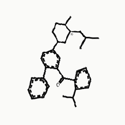 CC(C)C[C@H]1CC(c2ccc(-c3ccccc3)c(C(=O)c3ccccc3C(C)C)c2)CCC1C